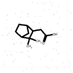 CC1(C)C2CCC(C2)C1CC(=O)O